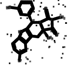 CN1C(=O)N2[C@H](c3cccc(O)c3)c3[nH]c4ccc(Br)cc4c3C[C@@]2(C)C1=O